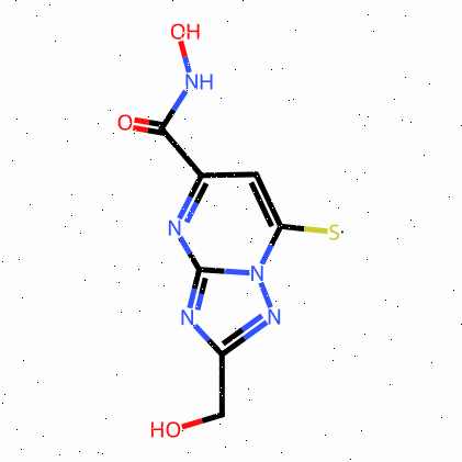 O=C(NO)c1cc([S])n2nc(CO)nc2n1